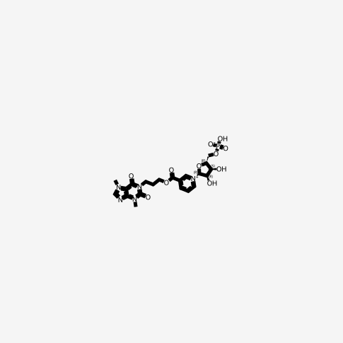 Cn1cnc2c1c(=O)n(CCCOC(=O)c1ccc[n+]([C@@H]3O[C@H](COP(=O)([O-])O)[C@@H](O)[C@H]3O)c1)c(=O)n2C